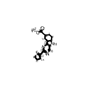 CC(C)OC(=O)C1CCc2[nH]c3cnc(-c4cccs4)nc3c2C1